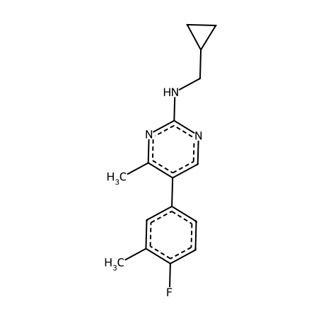 Cc1cc(-c2cnc(NCC3CC3)nc2C)ccc1F